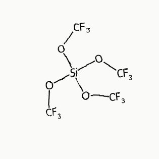 FC(F)(F)O[Si](OC(F)(F)F)(OC(F)(F)F)OC(F)(F)F